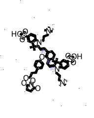 CC1(C)C(/C=C/C2=C(Oc3ccc(CCC(=O)ON4C(=O)CCC4=O)cc3)C(=C/C=C3/N(CCC[N+](C)(C)C)c4ccc(S(=O)(=O)O)cc4C3(C)C)/CCC2)=[N+](CCC[N+](C)(C)C)c2ccc(S(=O)(=O)O)cc21